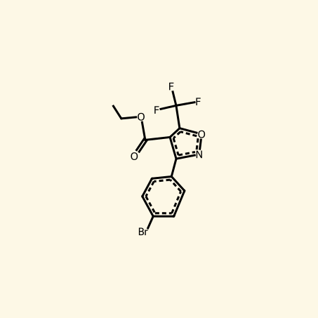 CCOC(=O)c1c(-c2ccc(Br)cc2)noc1C(F)(F)F